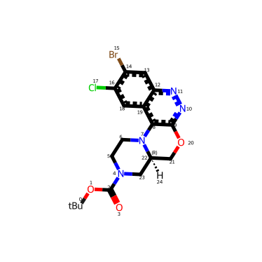 CC(C)(C)OC(=O)N1CCN2c3c(nnc4cc(Br)c(Cl)cc34)OC[C@H]2C1